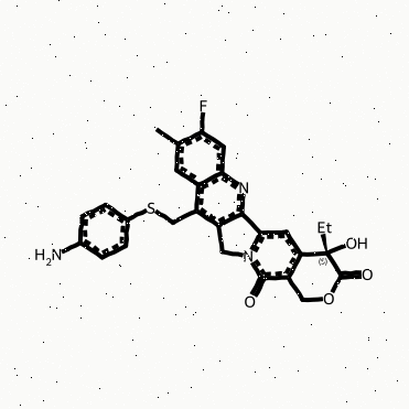 CC[C@@]1(O)C(=O)OCc2c1cc1n(c2=O)Cc2c-1nc1cc(F)c(C)cc1c2CSc1ccc(N)cc1